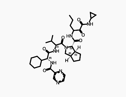 CCCC(NC(=O)[C@@H]1[C@H]2CCC[C@H]2CN1C(=O)[C@@H](NC(=O)[C@H](NC(=O)c1cnccn1)C1CCCCC1)C(C)C)C(=O)C(=O)NC1CC1